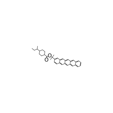 CCC(C)C1CCC(C(=O)OC(C)(C)c2ccc3cc4cc5cc6ccccc6cc5cc4cc3c2)CC1